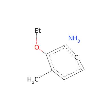 CCOc1ccccc1C.N